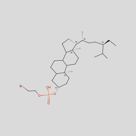 CC[C@H](CC[C@@H](C)[C@H]1CCC2C3CCC4C[C@@H](OP(=O)(O)OCCBr)CC[C@]4(C)C3CC[C@@]21C)C(C)C